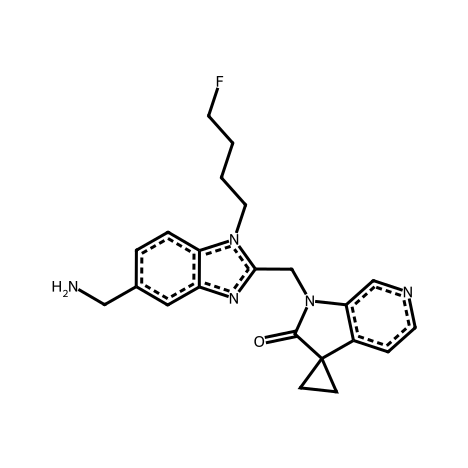 NCc1ccc2c(c1)nc(CN1C(=O)C3(CC3)c3ccncc31)n2CCCCF